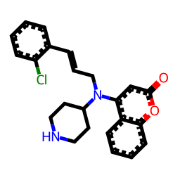 O=c1cc(N(CC=Cc2ccccc2Cl)C2CCNCC2)c2ccccc2o1